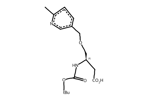 Cc1ccc(COC[C@@H](CC(=O)O)NC(=O)OC(C)(C)C)cn1